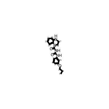 CCCOc1cccc(NC(=O)NC(=O)N2CCNc3c[c]ccc32)c1